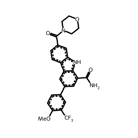 COc1ccc(-c2cc(C(N)=O)c3[nH]c4cc(C(=O)N5CCOCC5)ccc4c3c2)cc1C(F)(F)F